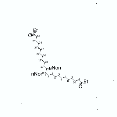 CCCCCCCCCC(CCCCCCCCCCC(=O)CC)C(CCCCCCCCC)CCCCCCCCCCC(=O)CC